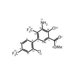 COC(=O)c1nc(-c2ccc(C(F)(F)F)cc2Cl)c(C(F)(F)F)c(N)c1Cl